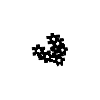 c1ccc(-c2ccccc2N(c2ccc3sc4ccccc4c3c2)c2nc3ccc4ccccc4c3o2)cc1